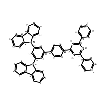 c1ccc2c(c1)c1ccccc1n2-c1cc(-c2ccc(-c3nc(-c4ccncc4)nc(-c4ccncc4)n3)cc2)cc(-n2c3ccccc3c3ccccc32)c1